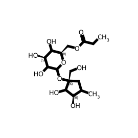 CCC(=O)OC[C@H]1OC(O[C@]2(CO)CC(C)[C@@H](O)C2O)C(O)[C@@H](O)C1O